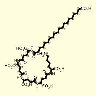 NCCCCC(NC(=O)CC[C@H](NC(=O)CC[C@H](NC(=O)CC[C@H](NC(=O)CC[C@H](NC(=O)CCCCCCCCCCCCCCCCCCC(=O)O)C(=O)O)C(=O)O)C(=O)O)C(=O)O)C(=O)O